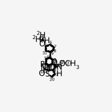 [2H]C([2H])([2H])Oc1cccc(-c2cc(F)c(C3(C(N)=O)SC=CC3C(=O)NOC)c(F)c2)c1